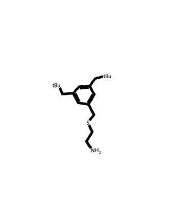 CC(C)(C)Cc1cc(CSCCN)cc(CC(C)(C)C)c1